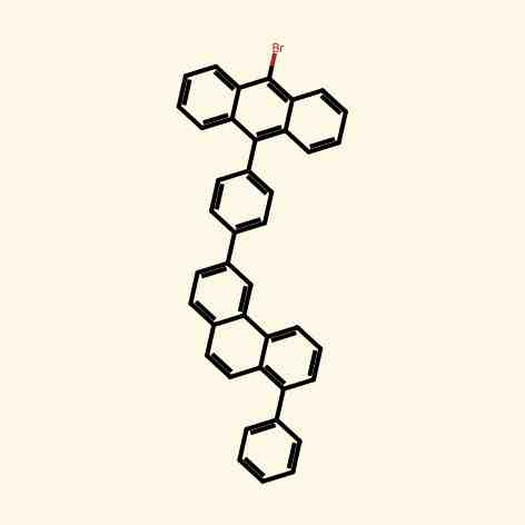 Brc1c2ccccc2c(-c2ccc(-c3ccc4ccc5c(-c6ccccc6)cccc5c4c3)cc2)c2ccccc12